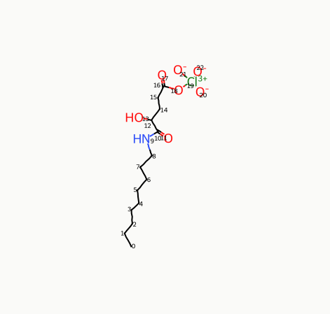 CCCCCCCCCNC(=O)C(O)CCC(=O)O[Cl+3]([O-])([O-])[O-]